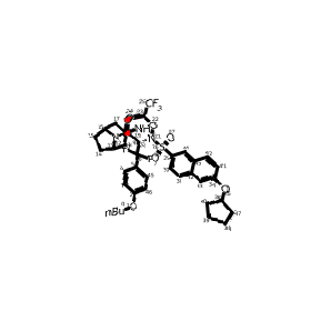 CCCCOc1ccc(C(F)(F)[C@H](C(=O)N2C3CCC2CC(N)C3)N(OC(=O)C(F)(F)F)S(=O)(=O)c2ccc3cc(OC4CCCC4)ccc3c2)cc1